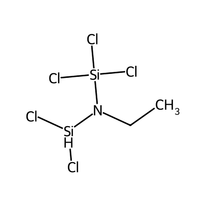 CCN([SiH](Cl)Cl)[Si](Cl)(Cl)Cl